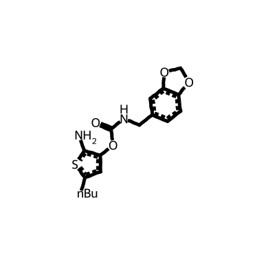 CCCCc1cc(OC(=O)NCc2ccc3c(c2)OCO3)c(N)s1